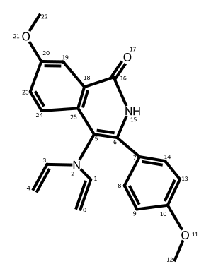 C=CN(C=C)c1c(-c2ccc(OC)cc2)[nH]c(=O)c2cc(OC)ccc12